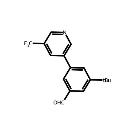 CC(C)(C)c1cc(C=O)cc(-c2cncc(C(F)(F)F)c2)c1